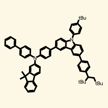 CC(C)(C)CC(c1ccc(-c2ccc3c(c2)c2cc(-c4ccc(N(c5ccc(-c6ccccc6)cc5)c5ccc6c(c5)C(C)(C)c5ccccc5-6)cc4)ccc2n3-c2ccc(C(C)(C)C)cc2)cc1)C(C)(C)C